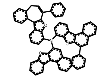 C1=C(c2ccccc2)c2oc3c(N(c4cccc5c4oc4c(-c6ccccc6)cc6ccccc6c45)c4cc5ccccc5c5c4oc4ccccc45)cccc3c2-c2ccccc2C1